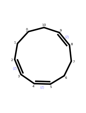 [CH]1C/C=C\C=C/CC/C=C\C1